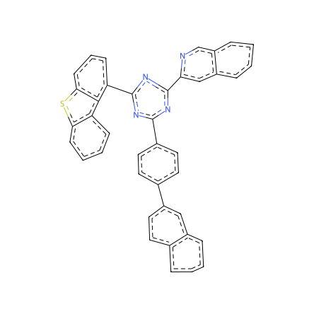 c1ccc2cc(-c3ccc(-c4nc(-c5cc6ccccc6cn5)nc(-c5cccc6sc7ccccc7c56)n4)cc3)ccc2c1